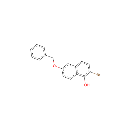 Oc1c(Br)ccc2cc(OCc3ccccc3)ccc12